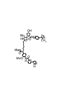 COc1cc(N(CCCCCCC(=O)N[C@H](C(=O)N2C[C@H](O)C[C@H]2C(=O)NCc2ccc(-c3scnc3C)cc2)C(C)(C)C)C(=O)OC(C)(C)C)ccc1NC(=O)c1cccc(-c2ccn[nH]2)n1